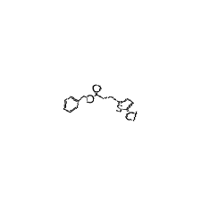 O=C(CCc1ccc(Cl)s1)OCc1ccccc1